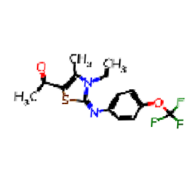 CCn1c(C)c(C(C)=O)sc1=Nc1ccc(OC(F)(F)F)cc1